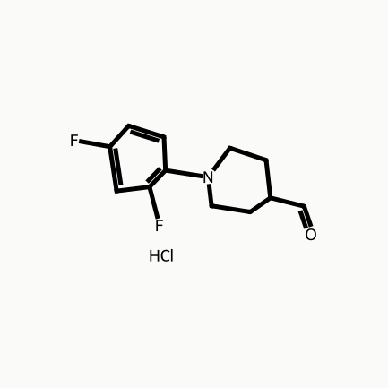 Cl.O=CC1CCN(c2ccc(F)cc2F)CC1